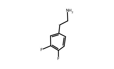 NC[CH]c1ccc(F)c(F)c1